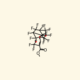 COC(=O)C(=CC12C(F)(F)C3(F)C(F)(F)C(F)(C(F)(F)C(F)(C3(F)F)C1(F)F)C2(F)F)C(F)(F)F